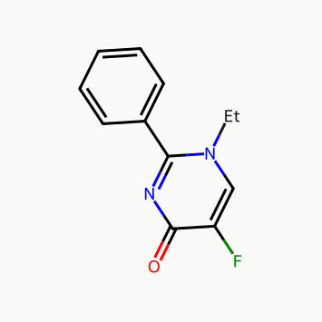 CCn1cc(F)c(=O)nc1-c1ccccc1